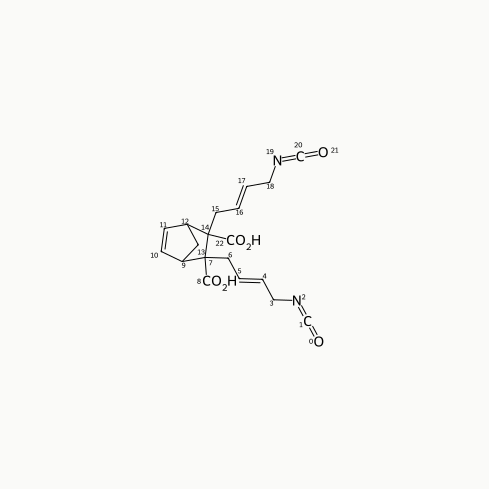 O=C=NCC=CCC1(C(=O)O)C2C=CC(C2)C1(CC=CCN=C=O)C(=O)O